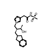 C[C@@H](O)[C@@H](CC1Cc2ccccc2C1)Cn1ccc(CC(=O)NS(C)(=O)=O)c1